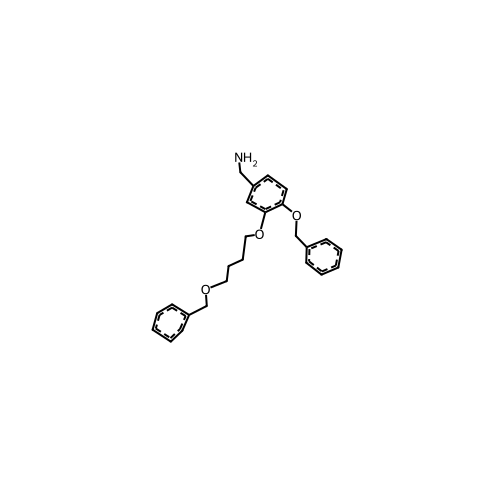 NCc1ccc(OCc2ccccc2)c(OCCCCOCc2ccccc2)c1